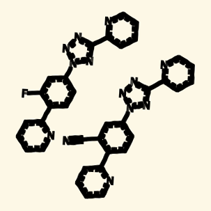 Fc1cc(-n2nnc(-c3ccccn3)n2)ccc1-c1ccccn1.N#Cc1cc(-n2nnc(-c3ccccn3)n2)ccc1-c1ccccn1